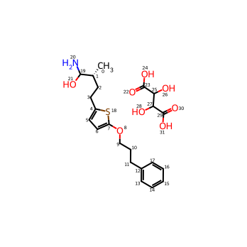 C[C@H](CCc1ccc(OCCCc2ccccc2)s1)C(N)O.O=C(O)C(O)C(O)C(=O)O